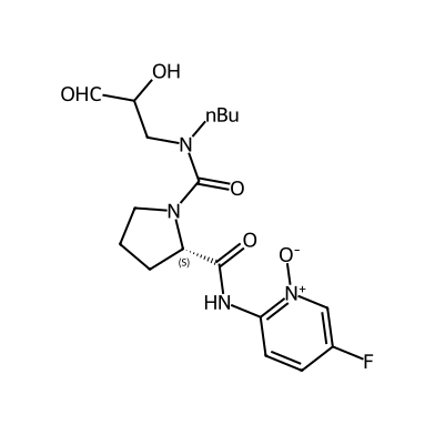 CCCCN(CC(O)C=O)C(=O)N1CCC[C@H]1C(=O)Nc1ccc(F)c[n+]1[O-]